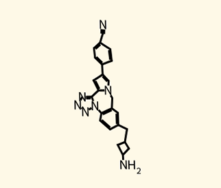 N#Cc1ccc(-c2cc3n(c2)Cc2cc(CC4CC(N)C4)ccc2-n2nnnc2-3)cc1